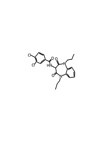 CCCN1C(=O)C(NC(=O)c2ccc(Cl)c(Cl)c2)C(=O)N(CCC)c2ccccc21